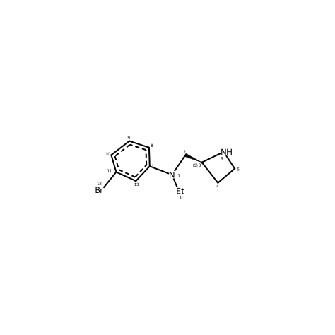 CCN(C[C@@H]1CCN1)c1cccc(Br)c1